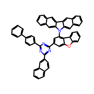 c1ccc(-c2ccc(-c3nc(-c4ccc5ccccc5c4)nc(-c4cc(-n5c6cc7ccccc7cc6c6cc7ccccc7cc65)c5c(c4)oc4ccccc45)n3)cc2)cc1